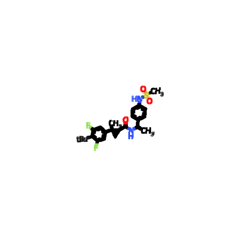 CC(NC(=O)C1CC1(C)c1cc(F)c(C(C)(C)C)c(F)c1)c1ccc(NS(C)(=O)=O)cc1